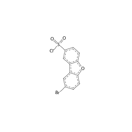 O=S(=O)(Cl)c1ccc2oc3ccc(Br)cc3c2c1